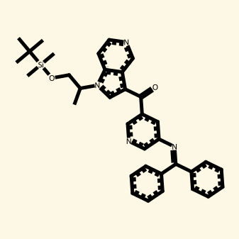 CC(CO[Si](C)(C)C(C)(C)C)n1cc(C(=O)c2cncc(N=C(c3ccccc3)c3ccccc3)c2)c2cnccc21